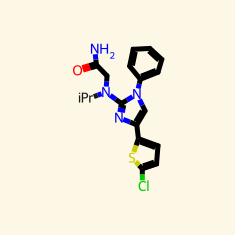 CC(C)N(CC(N)=O)c1nc(-c2ccc(Cl)s2)cn1-c1ccccc1